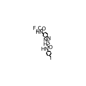 O=C(CSc1nc2ccc(NC(=O)C(F)(F)F)cc2[nH]1)Nc1ccc(I)cc1